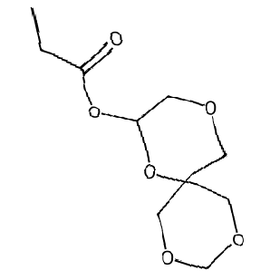 CCC(=O)OC1COCC2(COCOC2)O1